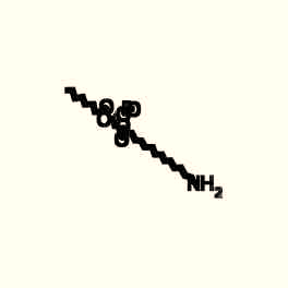 CCCCCCCC(=O)O[C@H](COP=O)COC(=O)CCCCCCCCCCCCCN